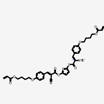 [C-]#[N+]/C(=C\c1ccc(OCCCCOC(=O)C=C)cc1)C(=O)Sc1ccc(OC(=O)/C(C#N)=C/c2ccc(OCCCCOC(=O)C=C)cc2)s1